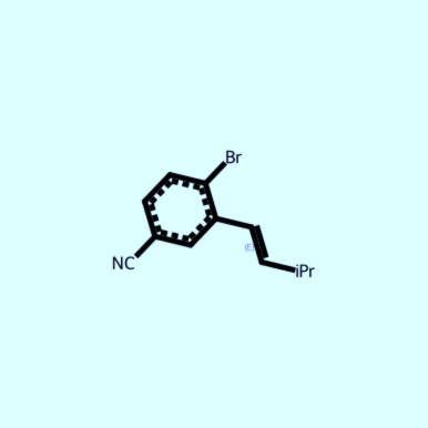 CC(C)/C=C/c1cc(C#N)ccc1Br